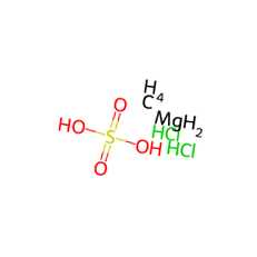 C.Cl.Cl.O=S(=O)(O)O.[MgH2]